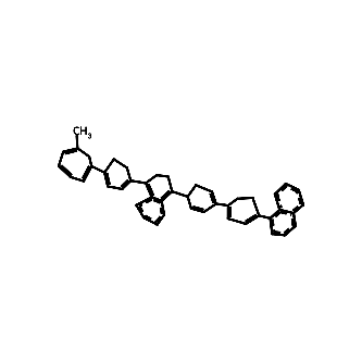 CC1=CC=CC=C(C2=CC=C(C3=c4ccccc4=C(C4C=CC(C5=CC=C(c6cccc7ccccc67)CC5)=CC4)CC3)CC2)C1